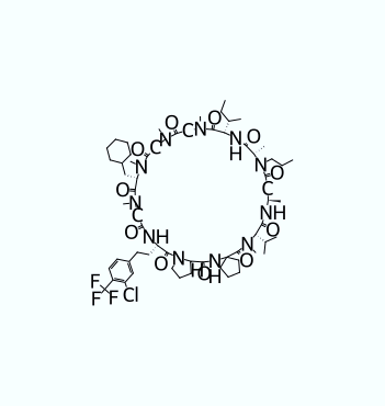 CCCN1C(=O)C[C@@H](C)NC(=O)[C@H](C(C)C)N(C)C(=O)C2(CCCC2)NC(=O)[C@@H]2CCCN2C(=O)[C@H](CCc2ccc(C(F)(F)F)c(Cl)c2)NC(=O)CN(C)C(=O)[C@H](CC2CCCCC2)N(C)C(=O)CN(C)C(=O)CN(C)C(=O)[C@H](C(C)CC)NC(=O)[C@@H]1C